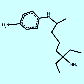 CCC(N)(CC)CCCC(C)Nc1ccc(N)cc1